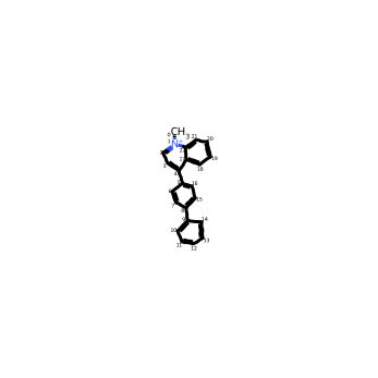 C[n+]1ccc(-c2ccc(-c3ccccc3)cc2)c2ccccc21